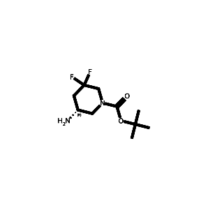 CC(C)(C)OC(=O)N1C[C@H](N)CC(F)(F)C1